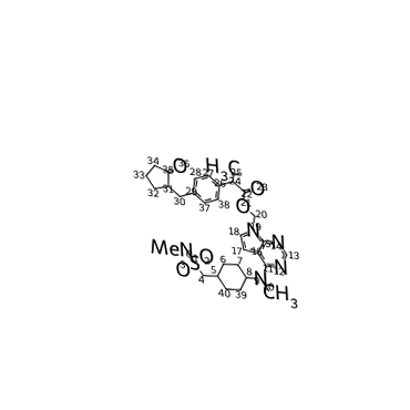 CNS(=O)(=O)CC1CCC(N(C)c2ncnc3c2ccn3COC(=O)C(C)c2ccc(CC3CCCC3=O)cc2)CC1